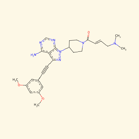 COc1cc(C#Cc2nn(C3CCN(C(=O)C=CCN(C)C)CC3)c3ncnc(N)c23)cc(OC)c1